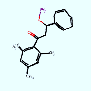 Cc1cc(C)c(C(=O)CC(OP)c2ccccc2)c(C)c1